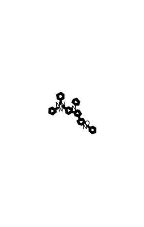 c1ccc(-c2nc(-c3ccccc3)nc(-c3ccc4c5cc(-c6ccc7nc(-c8ccccc8)oc7c6)ccc5n(-c5ccccc5)c4c3)n2)cc1